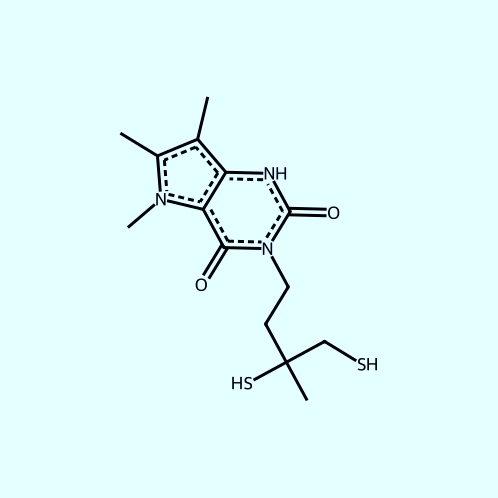 Cc1c(C)n(C)c2c(=O)n(CCC(C)(S)CS)c(=O)[nH]c12